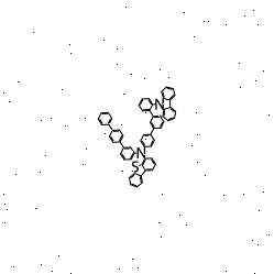 c1ccc(-c2ccc(-c3cccc(N(c4ccc(-c5cccc(-c6ccccc6-n6c7ccccc7c7ccccc76)c5)cc4)c4cccc5c4sc4ccccc45)c3)cc2)cc1